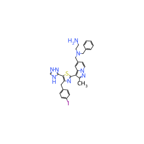 Cc1nn2ccc(CN(CCN)Cc3ccccc3)cc2c1-c1nc(Cc2ccc(I)cc2)c(-c2nnc[nH]2)s1